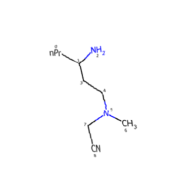 CCCC(N)CCN(C)CC#N